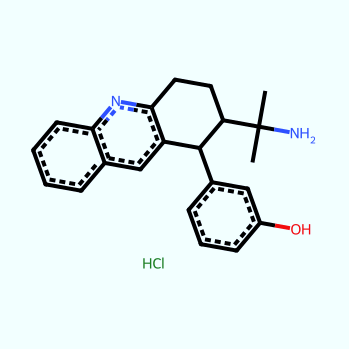 CC(C)(N)C1CCc2nc3ccccc3cc2C1c1cccc(O)c1.Cl